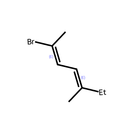 CC/C(C)=C/C=C(\C)Br